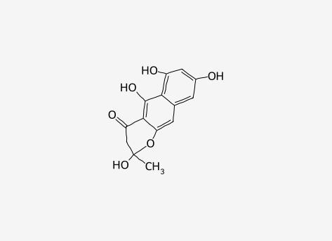 CC1(O)CC(=O)c2c(cc3cc(O)cc(O)c3c2O)O1